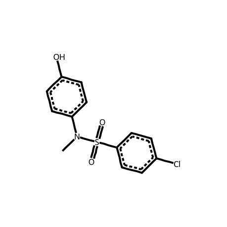 CN(c1ccc(O)cc1)S(=O)(=O)c1ccc(Cl)cc1